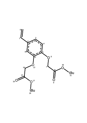 C=Cc1ccc(OCC(=O)OC(C)(C)C)c(OCC(=O)OC(C)(C)C)c1